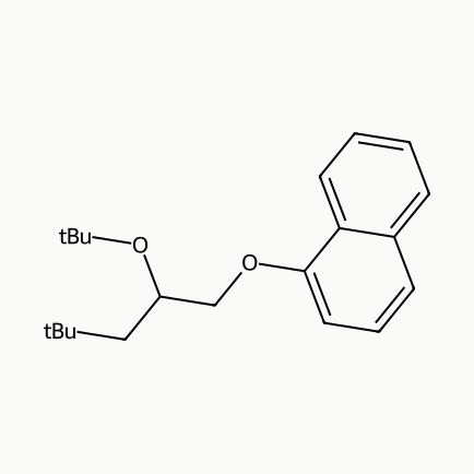 CC(C)(C)CC(COc1cccc2ccccc12)OC(C)(C)C